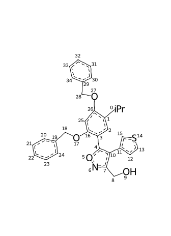 CC(C)c1cc(-c2onc(CO)c2-c2ccsc2)c(OCc2ccccc2)cc1OCc1ccccc1